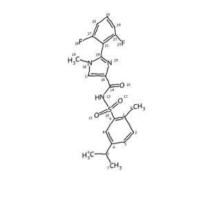 Cc1ccc(C(C)C)cc1S(=O)(=O)NC(=O)c1cn(C)c(-c2c(F)cccc2F)n1